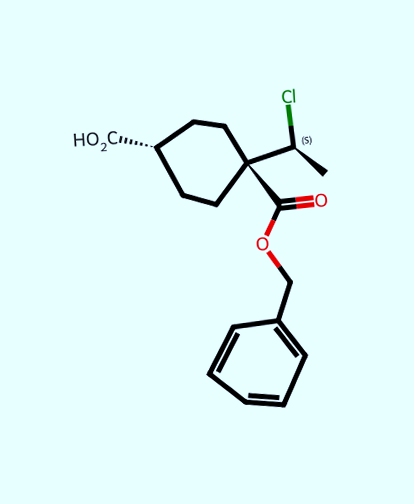 C[C@H](Cl)[C@]1(C(=O)OCc2ccccc2)CC[C@H](C(=O)O)CC1